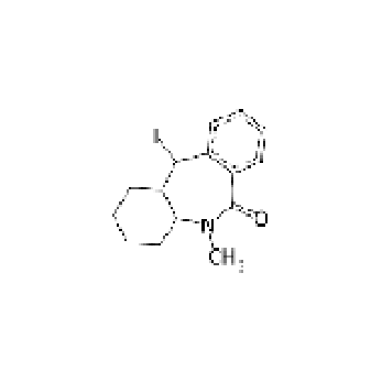 CN1C(=O)c2ccccc2C(I)C2CCCCC21